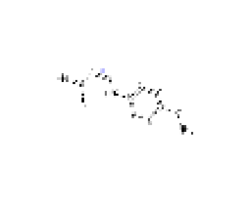 N=C(F)/C=C\Nc1ccc(CN)cc1